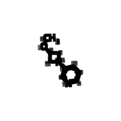 COC1CN(c2[c]nccc2)C1